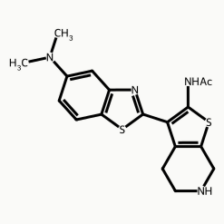 CC(=O)Nc1sc2c(c1-c1nc3cc(N(C)C)ccc3s1)CCNC2